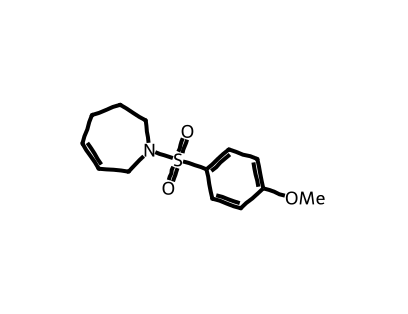 COc1ccc(S(=O)(=O)N2CC=CCCC2)cc1